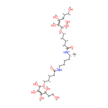 CC(=O)[C@H](CCCCNC(=O)CCCCOC(O)/C(O)=C(/O)C(O)CCO)NC(=O)CCCCOC(O)/C(O)=C(/O)[C@@H](O)CCO